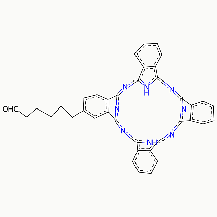 O=CCCCCCc1ccc2c(c1)-c1nc-2nc2[nH]c(nc3nc(nc4[nH]c(n1)c1ccccc41)-c1ccccc1-3)c1ccccc21